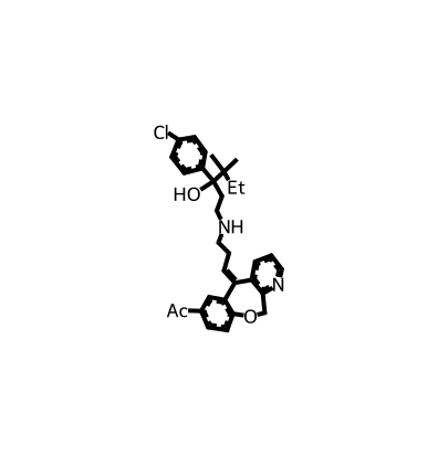 CCC(C)(C)C(O)(CCNCCC=C1c2cc(C(C)=O)ccc2OCc2ncccc21)c1ccc(Cl)cc1